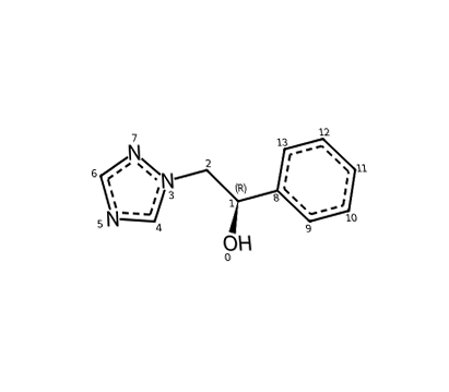 O[C@@H](Cn1cncn1)c1ccccc1